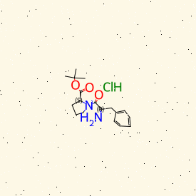 CC(C)(C)OC(=O)[C@@H]1CCCN1C(=O)[C@H](N)Cc1ccccc1.Cl